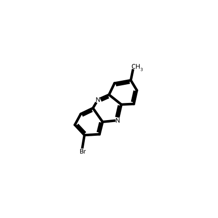 Cc1ccc2nc3cc(Br)ccc3nc2c1